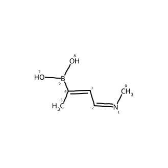 C/N=C\C=C(/C)B(O)O